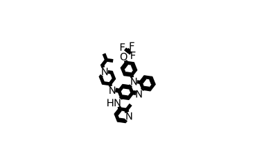 Cc1ncccc1Nc1cc2nc3ccccc3n(-c3ccc(OC(F)(F)F)cc3)c-2c/c1=N\C1CCN(CC(C)C)CC1